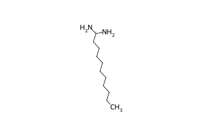 CCCCCCCCCC[C](N)N